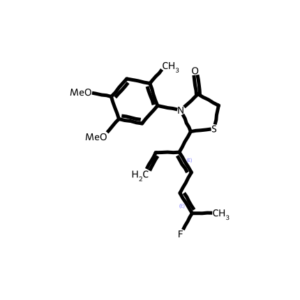 C=C/C(=C\C=C(/C)F)C1SCC(=O)N1c1cc(OC)c(OC)cc1C